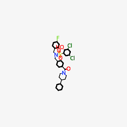 O=C(c1ccc(CN(Cc2ccc(F)cc2)S(=O)(=O)c2cc(Cl)cc(Cl)c2O)cc1)N1CCC(c2ccccc2)CC1